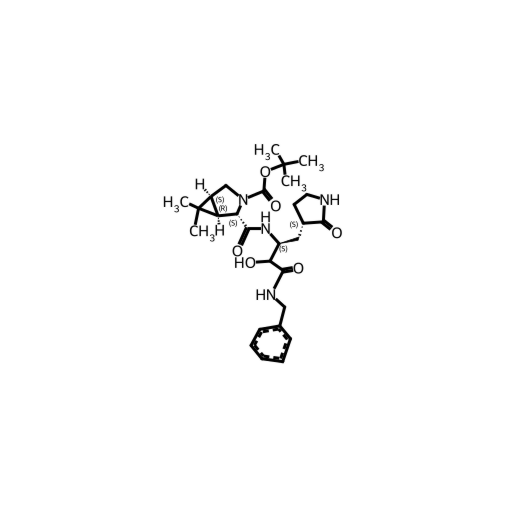 CC(C)(C)OC(=O)N1C[C@H]2[C@@H]([C@H]1C(=O)N[C@@H](C[C@@H]1CCNC1=O)C(O)C(=O)NCc1ccccc1)C2(C)C